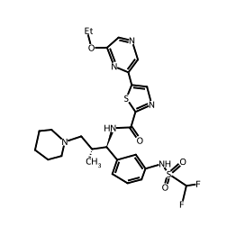 CCOc1cncc(-c2cnc(C(=O)N[C@@H](c3cccc(NS(=O)(=O)C(F)F)c3)[C@H](C)CN3CCCCC3)s2)n1